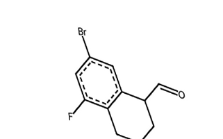 O=CC1CCCc2c(F)cc(Br)cc21